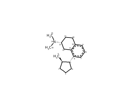 C[C@@H]1CCC[C@H]1c1cccc2c1C[C@H](N(C)C)CC2